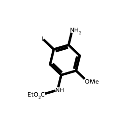 CCOC(=O)Nc1cc(I)c(N)cc1OC